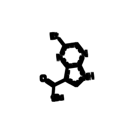 CCc1cnc2[nH]cc(C(=O)C(C)(C)C)c2n1